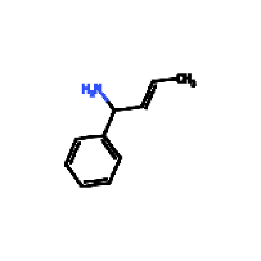 CC=CC(N)c1ccccc1